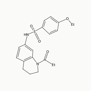 CCOc1ccc(S(=O)(=O)Nc2ccc3c(c2)N(C(=O)CC)CCC3)cc1